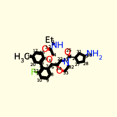 CCNC(=O)CO[C@@H](c1cccc(F)c1-c1cccc(C)c1)C1CN(C(=O)[C@@H]2CC[C@H](N)C2)CCO1